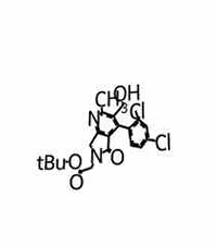 Cc1nc2c(c(-c3ccc(Cl)cc3Cl)c1CO)C(=O)N(CC(=O)OC(C)(C)C)C2